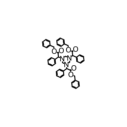 O=C(OCc1ccccc1)C(c1ccccc1)N1CN(C(C(=O)OCc2ccccc2)c2ccccc2)CN(C(C(=O)OCc2ccccc2)c2ccccc2)C1